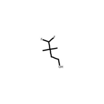 CC(C)(CCO)C(F)F